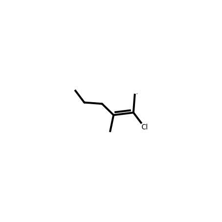 [CH2]C(Cl)=C(C)CCC